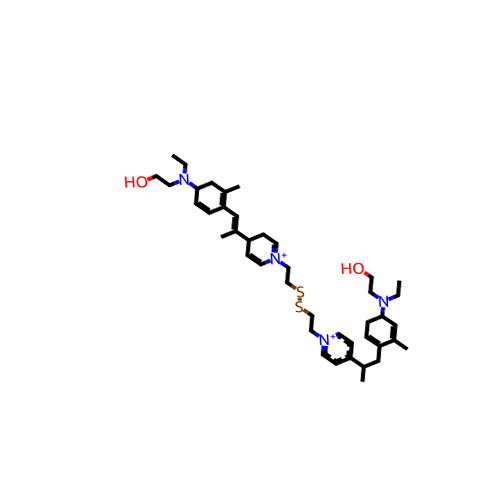 CCN(CCO)C1C=C(C)C(CC(C)c2cc[n+](CCSSCC[N+]3=CCC(/C(C)=C/C4=C(C)CC(N(CC)CCO)C=C4)C=C3)cc2)=CC1